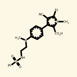 CCc1c(C#N)c(-c2ccc(N(C)CCNS(=O)(=O)C(C)C)cc2)c(C(=O)O)n1C